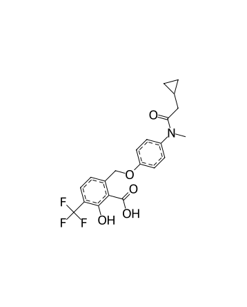 CN(C(=O)CC1CC1)c1ccc(OCc2ccc(C(F)(F)F)c(O)c2C(=O)O)cc1